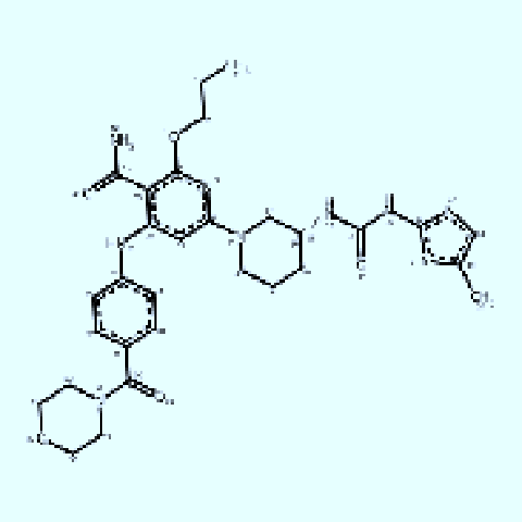 CCCOc1nc(N2CCC[C@@H](NC(=O)Nc3ncc(C)s3)C2)cc(Nc2ccc(C(=O)N3CCOCC3)cc2)c1C(N)=O